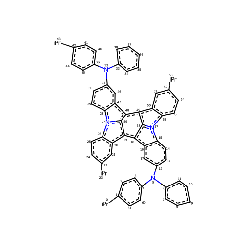 CC(C)c1ccc(N(c2ccccc2)c2ccc3c(c2)c2c4c5cc(C(C)C)ccc5n5c6ccc(N(c7ccccc7)c7ccc(C(C)C)cc7)cc6c(c6c7cc(C(C)C)ccc7n3c62)c45)cc1